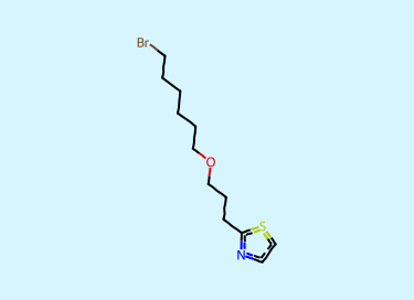 BrCCCCCCOCCCc1nccs1